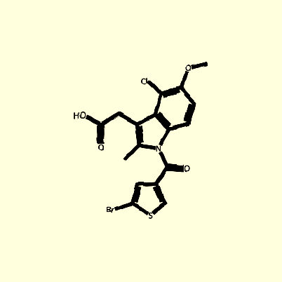 COc1ccc2c(c1Cl)c(CC(=O)O)c(C)n2C(=O)c1csc(Br)c1